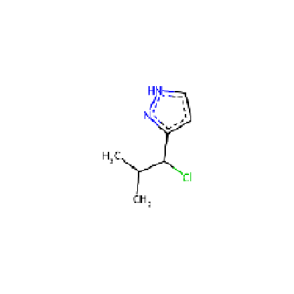 CC(C)C(Cl)c1cc[nH]n1